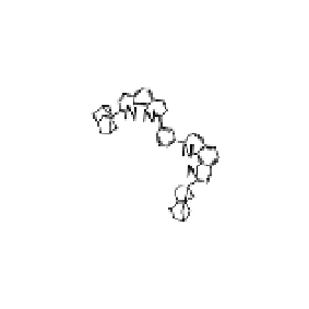 c1cc(-c2ccc3ccc4ccc(C56CC7CC(CC(C7)C5)C6)nc4c3n2)cc(-c2ccc3ccc4ccc(C56CCC7CCC(CC7C5)C6)nc4c3n2)c1